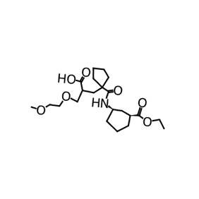 CCOC(=O)[C@H]1CCC[C@@H](NC(=O)C2(CC(COCCOC)C(=O)O)CCCC2)C1